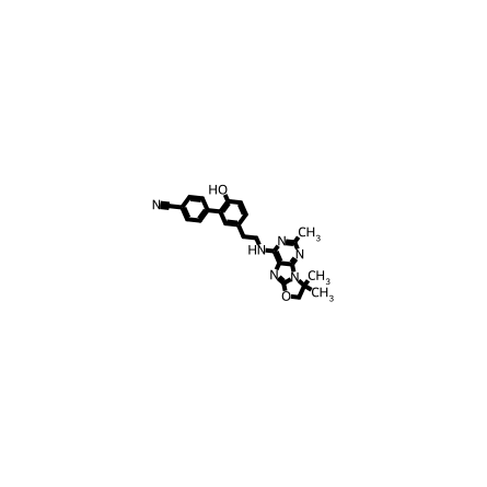 Cc1nc(NCCc2ccc(O)c(-c3ccc(C#N)cc3)c2)c2nc3n(c2n1)C(C)(C)CO3